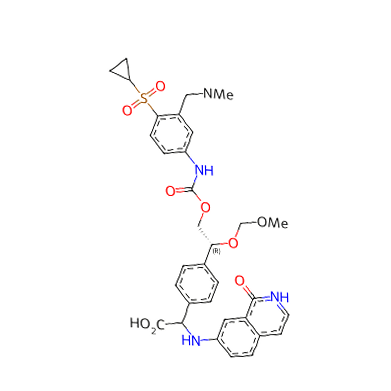 CNCc1cc(NC(=O)OC[C@H](OCOC)c2ccc(C(Nc3ccc4cc[nH]c(=O)c4c3)C(=O)O)cc2)ccc1S(=O)(=O)C1CC1